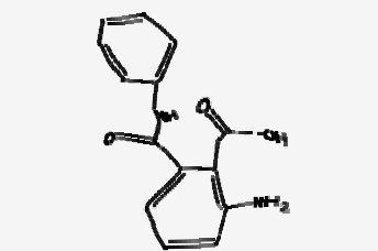 Nc1cccc(C(=O)Nc2ccccc2)c1C(=O)O